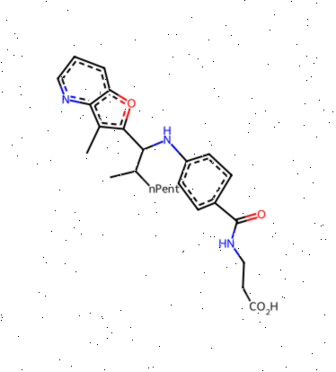 CCCCCC(C)C(Nc1ccc(C(=O)NCCC(=O)O)cc1)c1oc2cccnc2c1C